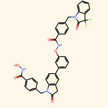 O=C(NO)c1ccc(CN2C(=O)Cc3cc(-c4cccc(ONC(=O)c5ccc(CN6C(=O)C(F)(F)c7ccccc76)cc5)c4)ccc32)cc1